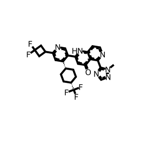 Cn1ncnc1-c1nccc2[nH]c(-c3cnc(C4CC(F)(F)C4)cc3[C@H]3CC[C@@H](C(F)(F)F)CC3)cc(=O)c12